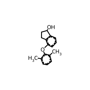 Cc1cccc(C)c1Oc1cccc2c1CCC2O